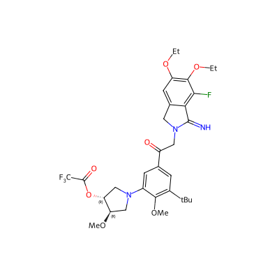 CCOc1cc2c(c(F)c1OCC)C(=N)N(CC(=O)c1cc(N3C[C@@H](OC)[C@H](OC(=O)C(F)(F)F)C3)c(OC)c(C(C)(C)C)c1)C2